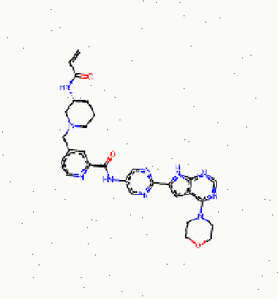 C=CC(=O)N[C@@H]1CCCN(Cc2ccnc(C(=O)Nc3cnc(-c4cc5c(N6CCOCC6)ncnc5[nH]4)nc3)c2)C1